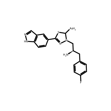 N[C@H](Cc1ccc(F)cc1)CN1N=C(c2ccc3[nH]ncc3c2)SC1[AsH2]